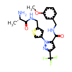 COc1cccc(CNC(=O)c2cc(C(F)(F)F)nn2-c2csc(CNC(=O)[C@H](C)N)c2)c1